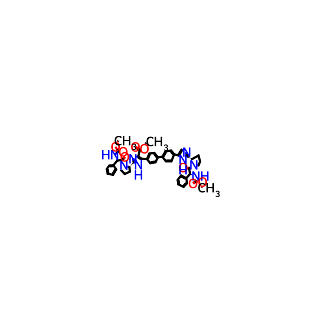 CCOC(=O)c1nc([C@@H]2CCCN2C(=O)[C@H](NC(=O)OC)c2ccccc2)[nH]c1-c1ccc(-c2ccc(-c3cnc([C@@H]4CCCN4C(=O)[C@H](NC(=O)OC)c4ccccc4)[nH]3)cc2)cc1